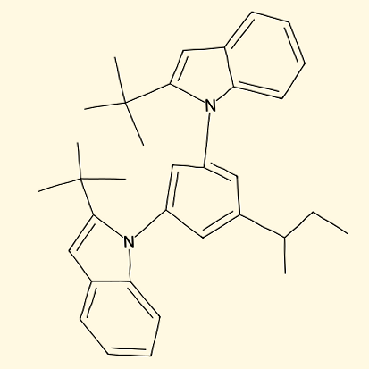 CCC(C)c1cc(-n2c(C(C)(C)C)cc3ccccc32)cc(-n2c(C(C)(C)C)cc3ccccc32)c1